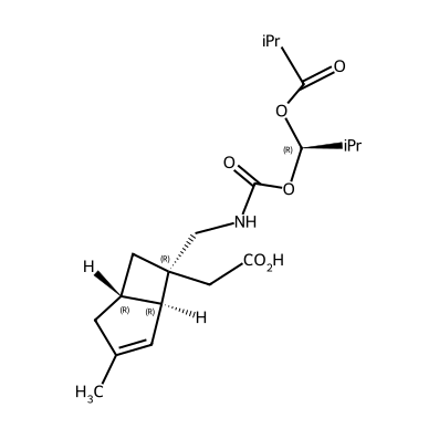 CC1=C[C@H]2[C@H](C1)C[C@@]2(CNC(=O)O[C@@H](OC(=O)C(C)C)C(C)C)CC(=O)O